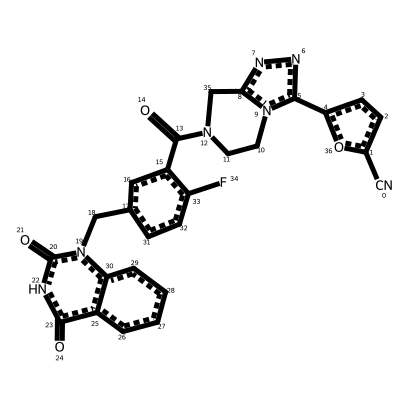 N#Cc1ccc(-c2nnc3n2CCN(C(=O)c2cc(Cn4c(=O)[nH]c(=O)c5ccccc54)ccc2F)C3)o1